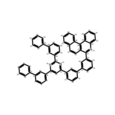 c1ccc(-c2cccc(-c3cc(-c4cccc(-c5cccc(-c6nc7ccccc7c7c6ccc6ccccc67)c5)c4)nc(-c4cccc(-c5ccccc5)c4)n3)c2)cc1